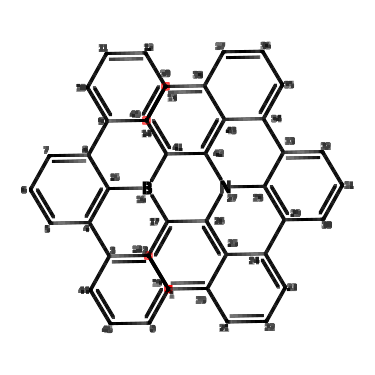 c1ccc(-c2cccc(-c3ccccc3)c2B2c3ccc4cccc5c4c3N3c4c-5cccc4-c4cccc5ccc2c3c45)cc1